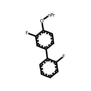 CCCOc1ccc(-c2ccccc2F)cc1F